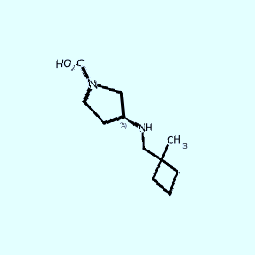 CC1(CN[C@H]2CCN(C(=O)O)C2)CCC1